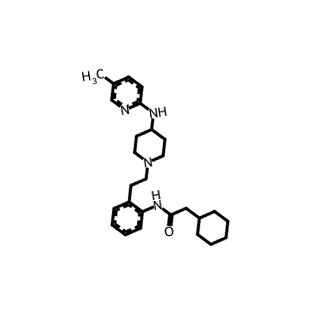 Cc1ccc(NC2CCN(CCc3ccccc3NC(=O)CC3CCCCC3)CC2)nc1